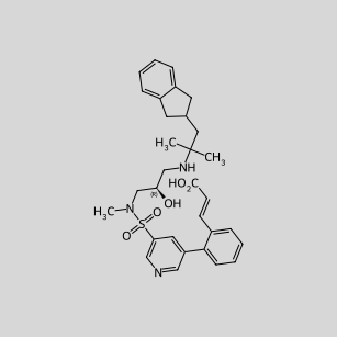 CN(C[C@H](O)CNC(C)(C)CC1Cc2ccccc2C1)S(=O)(=O)c1cncc(-c2ccccc2C=CC(=O)O)c1